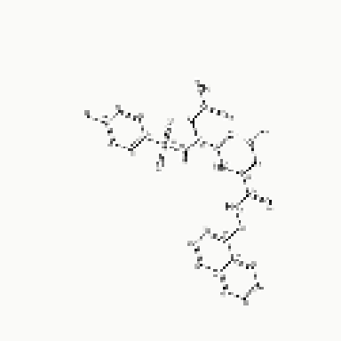 COC[C@H](NC(=O)[C@H](CC(=O)O)NS(=O)(=O)c1ccc(C)cc1)C(=O)NCc1cccc2ccccc12